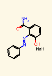 NC(=O)c1cccc(O)c1N=Nc1ccccc1.[NaH]